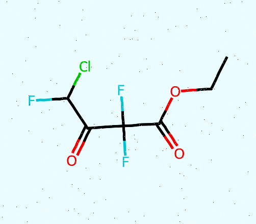 CCOC(=O)C(F)(F)C(=O)C(F)Cl